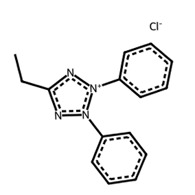 CCc1nn(-c2ccccc2)[n+](-c2ccccc2)n1.[Cl-]